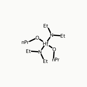 CCC[O][Hf]([O]CCC)([N](CC)CC)[N](CC)CC